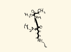 CCC(=O)[C@H](C)NCC(=O)[C@@H](N)CCCCN